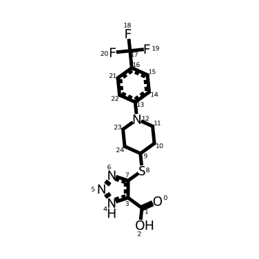 O=C(O)c1[nH]nnc1SC1CCN(c2ccc(C(F)(F)F)cc2)CC1